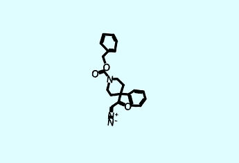 [N-]=[N+]=CC(=O)C1(c2ccccc2)CCN(C(=O)OCc2ccccc2)CC1